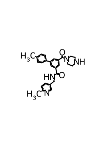 Cc1ccc(-c2cc(C(=O)NCc3ccc(C)nc3)cc(C(=O)N3CCNCC3)c2)cc1